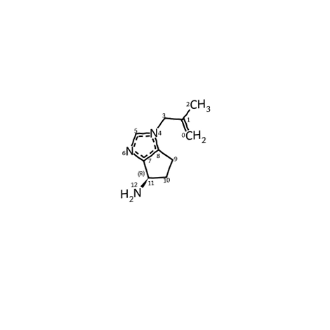 C=C(C)Cn1cnc2c1CC[C@H]2N